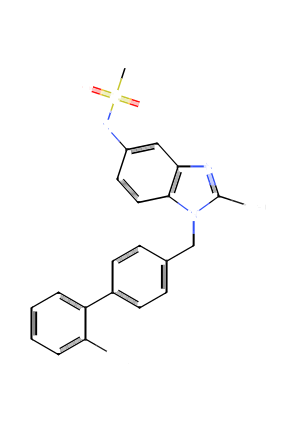 CCCCc1nc2cc(NS(C)(=O)=O)ccc2n1Cc1ccc(-c2ccccc2C(=O)O)cc1